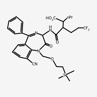 CCCC(C(=O)O)C(CCC(F)(F)F)C(=O)NC1N=C(c2ccccc2)c2cccc(C#N)c2N(COCC[Si](C)(C)C)C1=O